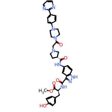 COC(=O)[C@H](Cc1ccc(O)cc1)NC(=O)c1n[nH]c2ccc(NC(=O)[C@@H]3CCN(CC(=O)N4CCN(c5ccc(-c6ncccn6)cc5)CC4)C3)cc12